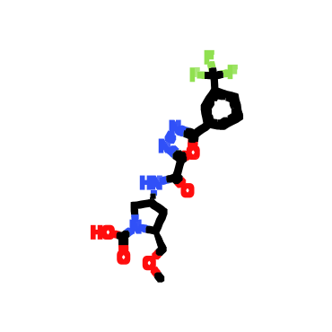 COC[C@@H]1C[C@@H](NC(=O)c2nnc(-c3cccc(C(F)(F)F)c3)o2)CN1C(=O)O